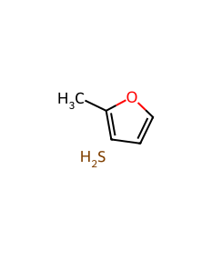 Cc1ccco1.S